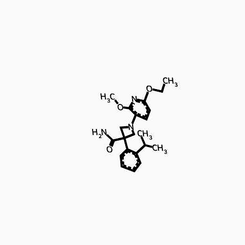 CCOc1ccc(N2CC(C(N)=O)(c3ccccc3C(C)C)C2)c(OC)n1